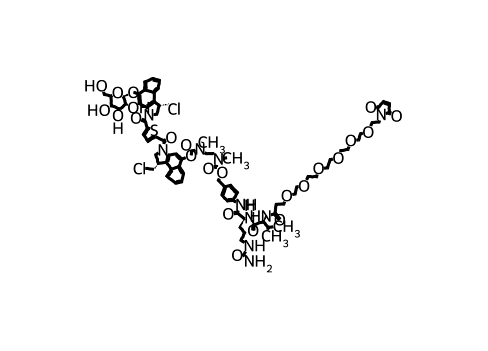 CC(C)[C@H](NC(=O)CCOCCOCCOCCOCCOCCOCCN1C(=O)C=CC1=O)C(=O)N[C@@H](CCCNC(N)=O)C(=O)Nc1ccc(COC(=O)N(C)CCN(C)C(=O)Oc2cc3c(c4ccccc24)[C@H](CCl)CN3C(=O)c2ccc(C(=O)N3C[C@@H](CCl)c4c3cc(O[C@@H]3OC(CO)[C@H](O)C(O)[C@@H]3O)c3ccccc43)s2)cc1